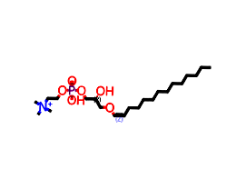 CCCCCCCCCCCC/C=C\OC[C@@H](O)COP(=O)(O)OCC[N+](C)(C)C